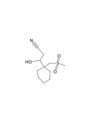 CS(=O)(=O)CC1(C(O)CC#N)CCCCC1